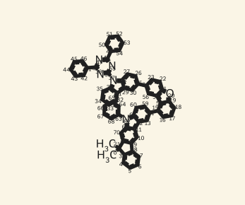 CC1(C)c2ccccc2-c2cc3c4cc(-c5cccc6oc7ccc(-c8ccc9c(c8)c8ccccc8n9-c8nc(-c9ccccc9)nc(-c9ccccc9)n8)cc7c56)ccc4n(-c4ccccc4)c3cc21